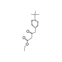 CCOC(=O)CC(=O)Cc1ccc(C(C)(C)C)cc1